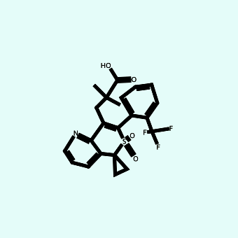 CC(C)(CC1=C(c2ccccc2C(F)(F)F)S(=O)(=O)C2(CC2)c2cccnc21)C(=O)O